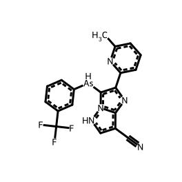 Cc1cccc(-c2nc3c(C#N)c[nH]n3c2[AsH]c2cccc(C(F)(F)F)c2)n1